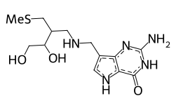 CSCC(CNCc1c[nH]c2c(=O)[nH]c(N)nc12)C(O)CO